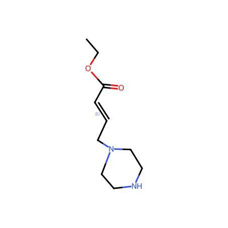 CCOC(=O)/C=C/CN1CCNCC1